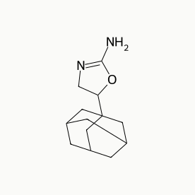 NC1=NCC(C23CC4CC(CC(C4)C2)C3)O1